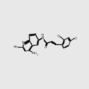 CCCc1cc(N)c2cc(NC(=O)C=Cc3ccc(Cl)cc3Cl)ccc2n1